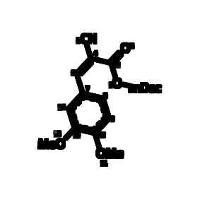 CCCCCCCCCCOC(=O)C(C#N)=Cc1ccc(OC)c(OC)c1